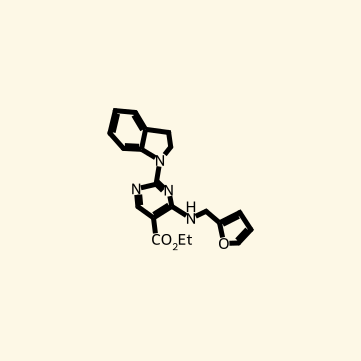 CCOC(=O)c1cnc(N2CCc3ccccc32)nc1NCc1ccco1